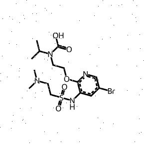 CC(C)N(CCOc1ncc(Br)cc1NS(=O)(=O)CCN(C)C)C(=O)O